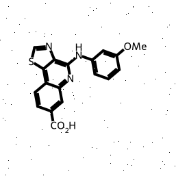 COc1cccc(Nc2nc3cc(C(=O)O)ccc3c3scnc23)c1